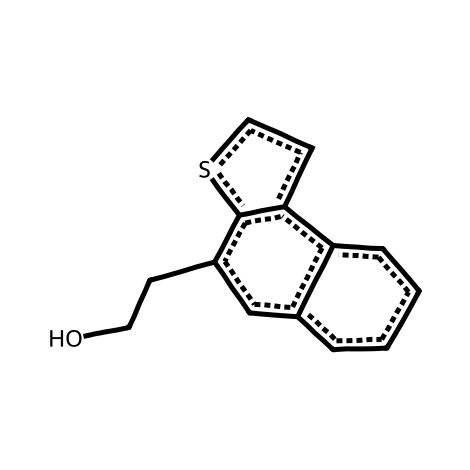 OCCc1cc2ccccc2c2ccsc12